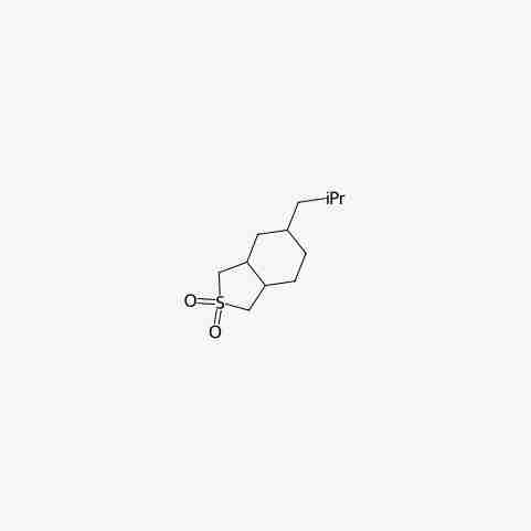 CC(C)CC1CCC2CS(=O)(=O)CC2C1